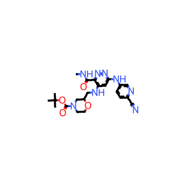 CNC(=O)c1nnc(Nc2ccc(C#N)nc2)cc1NCC1CN(C(=O)OC(C)(C)C)CCO1